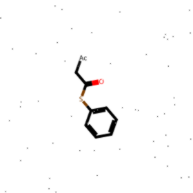 CC(=O)CC(=O)Sc1ccccc1